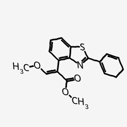 CO/C=C(/C(=O)OC)c1cccc2sc(C3=CCCC=C3)nc12